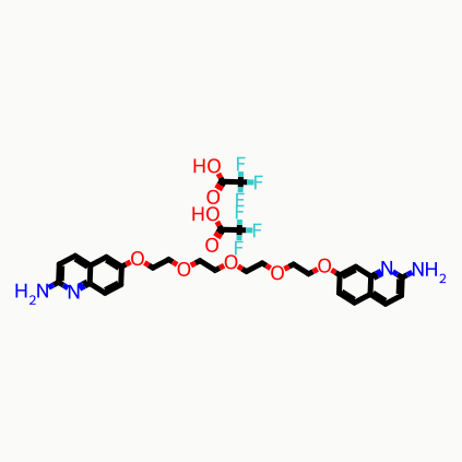 Nc1ccc2cc(OCCOCCOCCOCCOc3ccc4ccc(N)nc4c3)ccc2n1.O=C(O)C(F)(F)F.O=C(O)C(F)(F)F